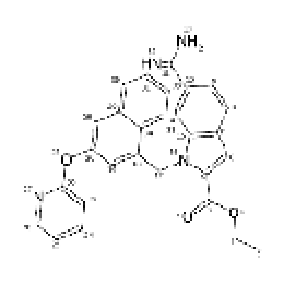 CCOC(=O)c1cc2ccc(C(=N)N)cc2n1Cc1cc(Oc2ccccn2)cc2ccccc12